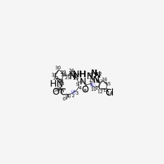 C[C@@H]1/C=C\CC(NC(=O)/C=C/c2cc(Cl)ccc2-n2cnnn2)c2nc(c[nH]2)-c2ccccc2NC(=O)C1